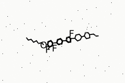 CCCCCCCOc1ccc(-c2ccc(-c3ccc(C4CCC(C5CCC(CCC)CC5)CC4)c(F)c3)cc2)c(F)c1F